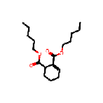 CCCCCOC(=O)C1=CCCCC1C(=O)OCCCCC